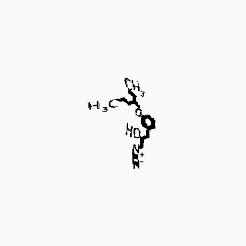 CCCC(CCC)COc1cccc(C[C@H](O)CN=[N+]=[N-])c1